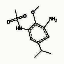 COc1c(N)cc(C(C)C)cc1NS(C)(=O)=O